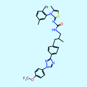 Cc1ccc(C(C)C)c(-n2c(C)cs/c2=N\C(=O)NCC(C)Cc2ccc(-c3ncn(-c4ccc(OC(F)(F)F)cc4)n3)cc2)c1